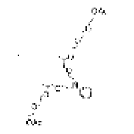 CC(=O)OCCOCCOCCOC(C)COCCN(CCOCC(C)OCCOCCOC(C)=O)c1ccccc1